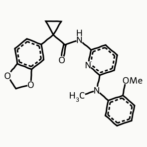 COc1ccccc1N(C)c1cccc(NC(=O)C2(c3ccc4c(c3)OCO4)CC2)n1